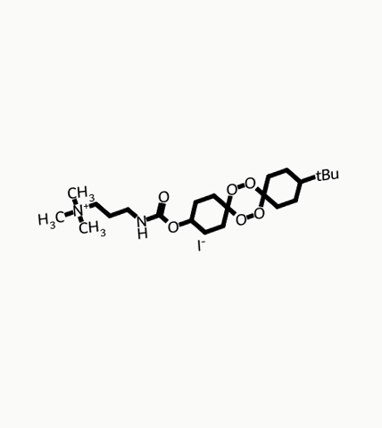 CC(C)(C)C1CCC2(CC1)OOC1(CCC(OC(=O)NCCC[N+](C)(C)C)CC1)OO2.[I-]